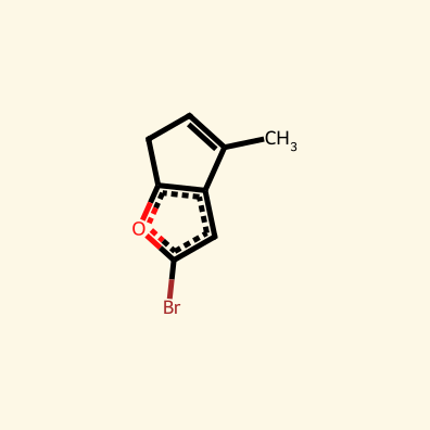 CC1=CCc2oc(Br)cc21